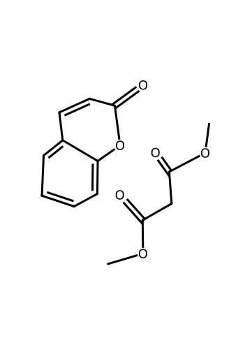 COC(=O)CC(=O)OC.O=c1ccc2ccccc2o1